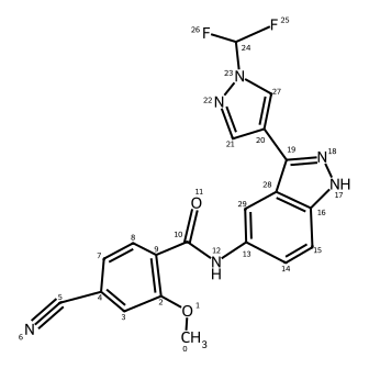 COc1cc(C#N)ccc1C(=O)Nc1ccc2[nH]nc(-c3cnn(C(F)F)c3)c2c1